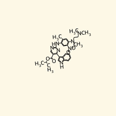 Cc1cc(N(C)CCN(C)C)c([N+](=O)[O-])cc1Nc1ncc(C(=O)OC(C)C)c(-c2c[nH]c3ccccc23)n1